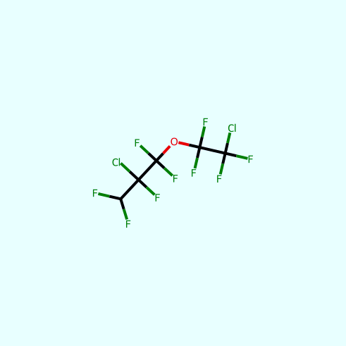 FC(F)C(F)(Cl)C(F)(F)OC(F)(F)C(F)(F)Cl